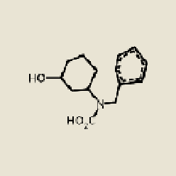 O=C(O)N(Cc1ccccc1)C1CCCC(O)C1